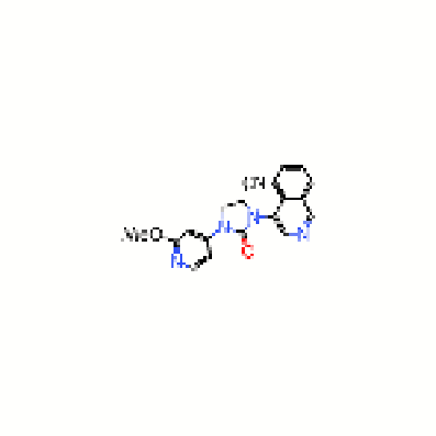 COc1cc(N2C[C@H](C#N)N(c3cncc4ccccc34)C2=O)ccn1